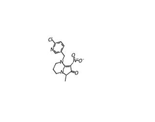 CC1C(=O)C([N+](=O)[O-])=C2N(Cc3ccc(Cl)nc3)CCCN21